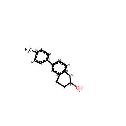 OC1CCc2cc(-c3ccc(C(F)(F)F)cc3)ccc2C1